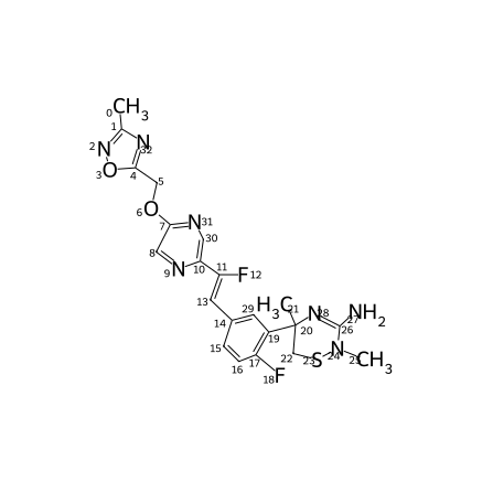 Cc1noc(COc2cnc(C(F)=Cc3ccc(F)c(C4(C)CSN(C)C(N)=N4)c3)cn2)n1